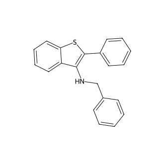 c1ccc(CNc2c(-c3ccccc3)sc3ccccc23)cc1